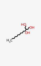 CCCCCCCCCCC(O)[C](CCO)CCO